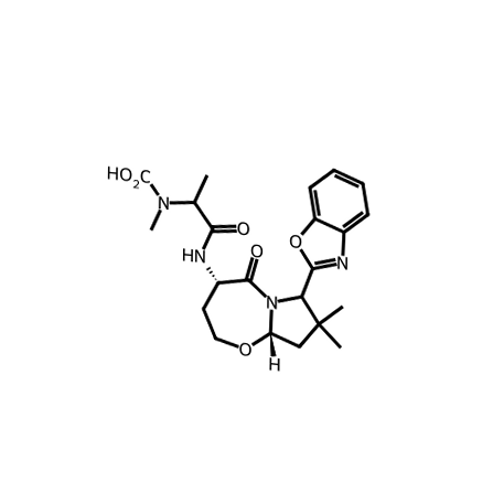 CC(C(=O)N[C@H]1CCO[C@H]2CC(C)(C)C(c3nc4ccccc4o3)N2C1=O)N(C)C(=O)O